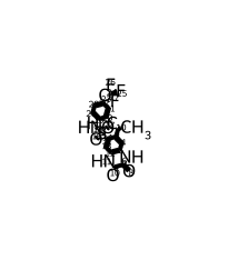 CC(C)c1cc2[nH]c(=O)c(=O)[nH]c2cc1S(=O)(=O)Nc1ccc(OC(F)(F)F)cc1